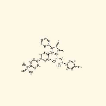 CN1C(=O)N(c2ccccc2)[C@H](c2ccc(-c3ccc(P(=O)(O)O)cc3)cc2O)[C@H]1CCC(O)c1ccc(F)cc1